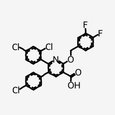 O=C(O)c1cc(-c2ccc(Cl)cc2)c(-c2ccc(Cl)cc2Cl)nc1OCc1ccc(F)c(F)c1